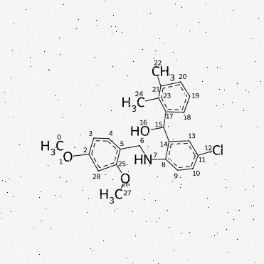 COc1ccc(CNc2ccc(Cl)cc2C(O)c2cccc(C)c2C)c(OC)c1